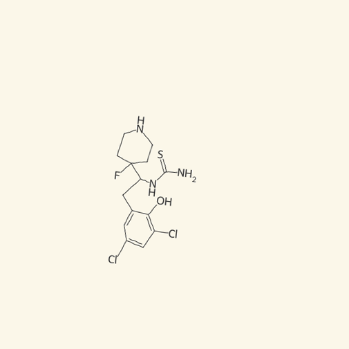 NC(=S)NC(Cc1cc(Cl)cc(Cl)c1O)C1(F)CCNCC1